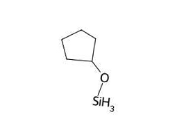 [SiH3]OC1CCCC1